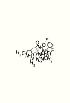 CC[C@@H](NC(=O)N1C(=O)C(Cc2cc(C)nc(N)c2)[C@H]1C(=O)N(C)c1nccn1C)c1cc(F)ccc1F